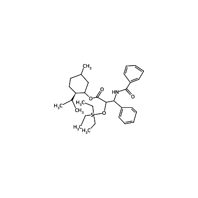 CC[Si](CC)(CC)OC(C(=O)OC1CC(C)CC[C@@H]1C(C)C)C(NC(=O)c1ccccc1)c1ccccc1